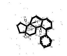 C[C@@]12CCC[C@H]1[C@@H]1CC=C3C=CC=C(c4ccccc4)[C@@H]3[C@H]1CC2